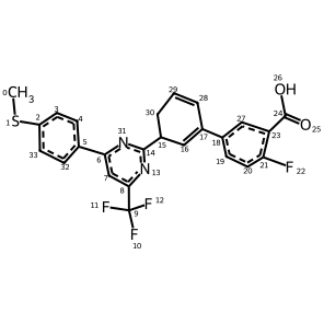 CSc1ccc(-c2cc(C(F)(F)F)nc(C3C=C(c4ccc(F)c(C(=O)O)c4)C=CC3)n2)cc1